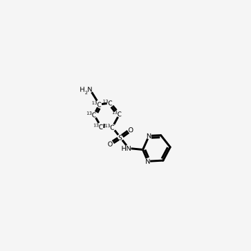 N[13c]1[13cH][13cH][13c](S(=O)(=O)Nc2ncccn2)[13cH][13cH]1